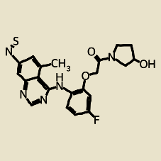 Cc1cc(N=S)cc2ncnc(Nc3ccc(F)cc3OCC(=O)N3CCC(O)C3)c12